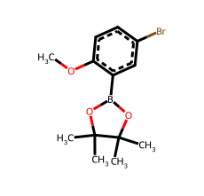 COc1ccc(Br)cc1B1OC(C)(C)C(C)(C)O1